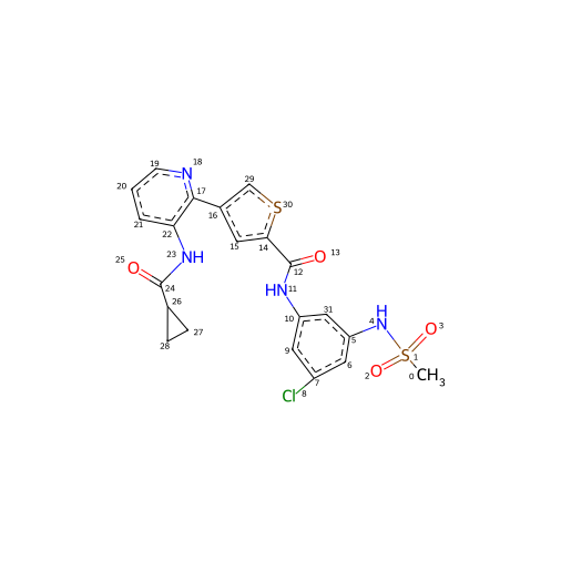 CS(=O)(=O)Nc1cc(Cl)cc(NC(=O)c2cc(-c3ncccc3NC(=O)C3CC3)cs2)c1